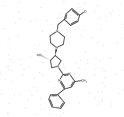 Cc1cc(-c2ccccc2)nc(N2C[C@H](O)[C@@H](N3CCN(Cc4ccc(Cl)cc4)CC3)C2)n1